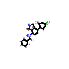 O=C(Nc1ccc(-c2ccc(Cl)cc2Cl)c2c1C(=O)NC2)c1ccccc1